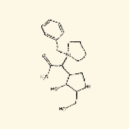 NC(=O)C(C1CNC(CO)C1O)[N+]1(Cc2ccccc2)CCCC1